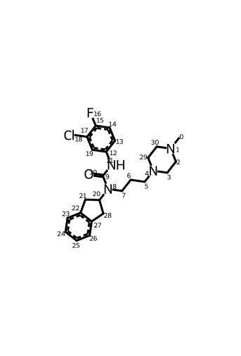 CN1CCN(CCCN(C(=O)Nc2ccc(F)c(Cl)c2)C2Cc3ccccc3C2)CC1